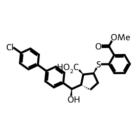 COC(=O)c1ccccc1S[C@H]1CC[C@H]([C@@H](O)c2ccc(-c3ccc(Cl)cc3)cc2)[C@H]1C(=O)O